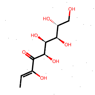 CC=C(O)C(=O)[C@H](O)[C@@H](O)[C@H](O)[C@H](O)CO